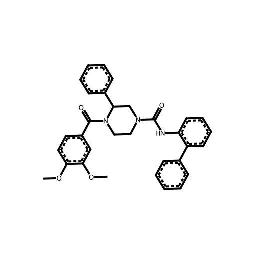 COc1ccc(C(=O)N2CCN(C(=O)Nc3ccccc3-c3ccccc3)CC2c2ccccc2)cc1OC